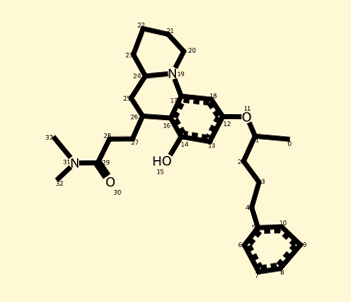 CC(CCCc1ccccc1)Oc1cc(O)c2c(c1)N1CCCCC1CC2CCC(=O)N(C)C